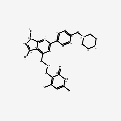 Cc1cc(C)c(CNCc2cc(-c3ccc(CN4CCOCC4)cc3)nc3c2c(Br)nn3C(C)C)c(=O)[nH]1